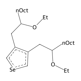 CCCCCCCCC(Cc1c[se]cc1CC(CCCCCCCC)OCC)OCC